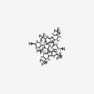 N#Cc1ccc(-c2ccc(-c3ccc(C#N)cc3C(F)(F)F)cc2-n2c3ccc(C(F)(F)F)cc3c3cc(C(F)(F)F)ccc32)c(-n2c3ccc(C(F)(F)F)cc3c3cc(C(F)(F)F)ccc32)c1